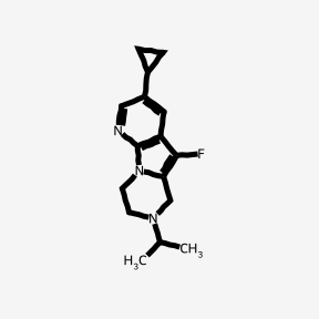 CC(C)N1CCn2c(c(F)c3cc(C4CC4)cnc32)C1